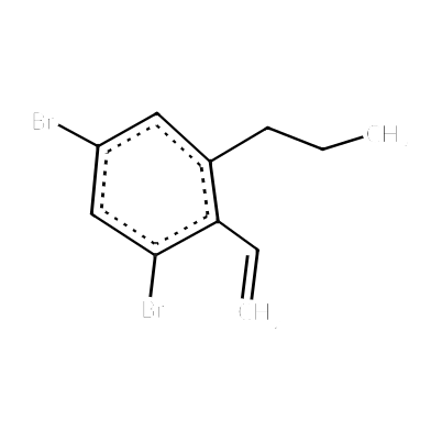 C=Cc1c(Br)cc(Br)cc1CCC